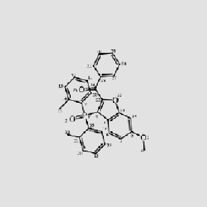 COc1ccc2c(P(=O)(c3ccccc3C)c3ccccc3C)c(C(=O)c3ccccc3)oc2c1